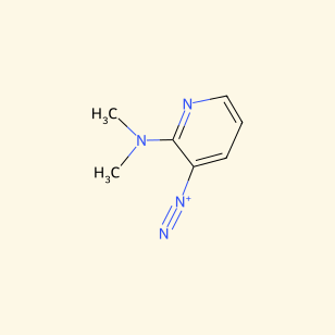 CN(C)c1ncccc1[N+]#N